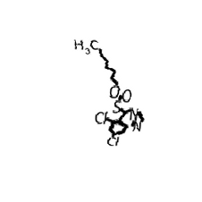 CCCCCCCCOC(=O)SC(Cn1ccnc1)c1ccc(Cl)cc1Cl